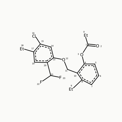 CCC(=O)Oc1cccc(CC)c1COc1cc(Cl)c(CC)cc1C(F)F